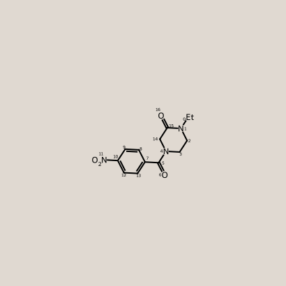 CCN1CCN(C(=O)c2ccc([N+](=O)[O-])cc2)CC1=O